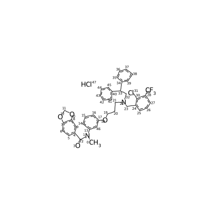 CN(C(=O)c1ccc2c(c1)OCO2)c1cccc(OCCCN(Cc2cccc(C(F)(F)F)c2Cl)CC(c2ccccc2)c2ccccc2)c1.Cl